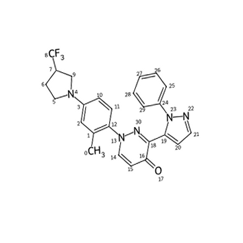 Cc1cc(N2CCC(C(F)(F)F)C2)ccc1-n1ccc(=O)c(-c2ccnn2-c2ccccc2)n1